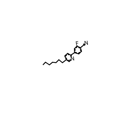 CCCCCCCc1ccc(-c2ccc(C#N)c(F)c2)nc1